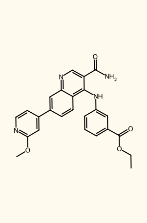 CCOC(=O)c1cccc(Nc2c(C(N)=O)cnc3cc(-c4ccnc(OC)c4)ccc23)c1